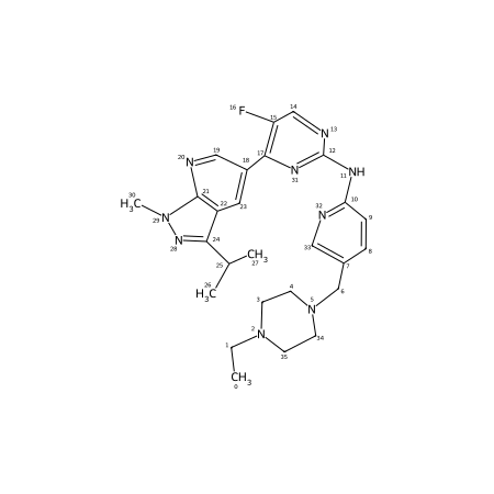 CCN1CCN(Cc2ccc(Nc3ncc(F)c(-c4cnc5c(c4)c(C(C)C)nn5C)n3)nc2)CC1